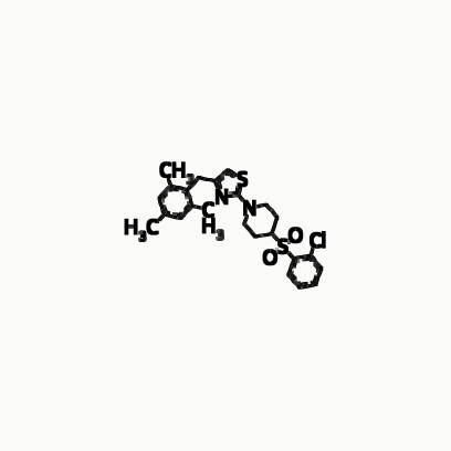 Cc1cc(C)c(Cc2csc(N3CCC(S(=O)(=O)c4ccccc4Cl)CC3)n2)c(C)c1